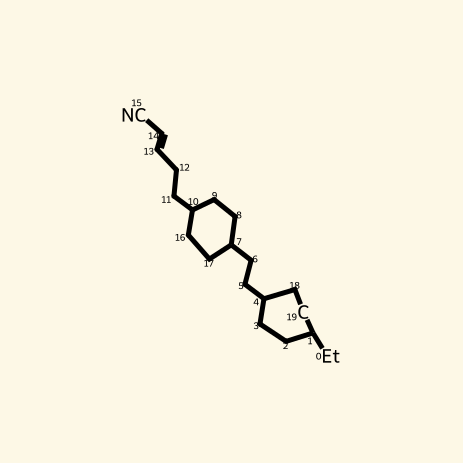 CCC1CCC(CCC2CCC(CCC=CC#N)CC2)CC1